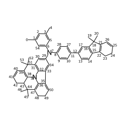 Cc1cc(C)cc(N(c2ccc(-c3ccc4c(c3)C(C)(C)C3=C4CCC=C3)cc2)c2cc3c4c(c2)c2c5n4C4=C(C=CCC4C(C)(C)C=5CCC=2)C3(C)C)c1